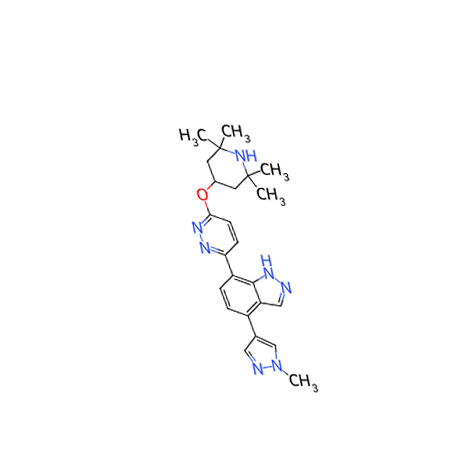 Cn1cc(-c2ccc(-c3ccc(OC4CC(C)(C)NC(C)(C)C4)nn3)c3[nH]ncc23)cn1